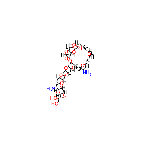 C=C1C[C@@H]2CC[C@@]34C[C@@H]5O[C@H]6[C@@H](O3)[C@H]3O[C@H](CC[C@@H]3O[C@H]6C5O4)CC(=O)O[C@@H]3CC4OC5C[C@@]6(C[C@@H]7O[C@@]8(CC[C@@H]7O6)C[C@H](N)[C@@H]6O[C@@H]7[C@@H]([C@@H](O)CO)CO[C@@H]7C[C@@H]6O8)O[C@@H]5C[C@@H]4O[C@H]3C[C@H]3O[C@@H](CC[C@@H]1O2)C[C@@H](N)C3=C